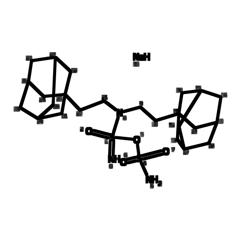 N=S(=O)(OS(N)(=O)=O)N(CCC12CC3CC(CC(C3)C1)C2)CCC12CC3CC(CC(C3)C1)C2.[NaH]